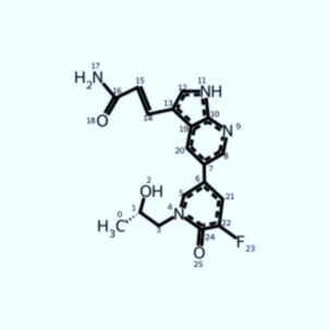 C[C@H](O)Cn1cc(-c2cnc3[nH]cc(/C=C/C(N)=O)c3c2)cc(F)c1=O